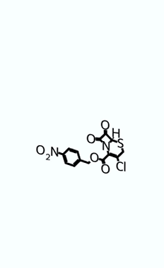 O=C(OCc1ccc([N+](=O)[O-])cc1)C1=C(Cl)CS[C@@H]2C(=O)C(=O)N12